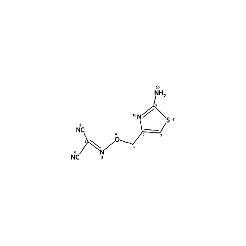 N#CC(C#N)=NOCc1csc(N)n1